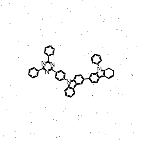 C1=Cc2c(n(-c3ccccc3)c3cc(-c4ccc5c(c4)c4ccccc4n5-c4ccc(-c5nc(-c6ccccc6)nc(-c6ccccc6)n5)cc4)ccc23)CC1